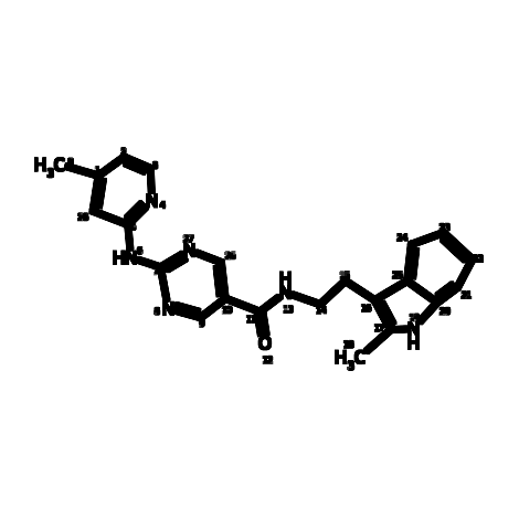 Cc1ccnc(Nc2ncc(C(=O)NCCc3c(C)[nH]c4ccccc34)cn2)c1